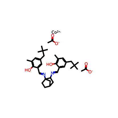 CC(=O)[O-].CC(=O)[O-].Cc1cc(CC(C)(C)C)cc(C=NC2CC3CCC2(N=Cc2cc(CC(C)(C)C)cc(C)c2O)C3)c1O.[Co+2]